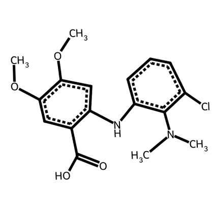 COc1cc(Nc2cccc(Cl)c2N(C)C)c(C(=O)O)cc1OC